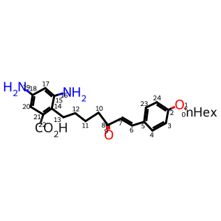 CCCCCCOc1ccc(C=CC(=O)CCCCc2c(N)cc(N)cc2C(=O)O)cc1